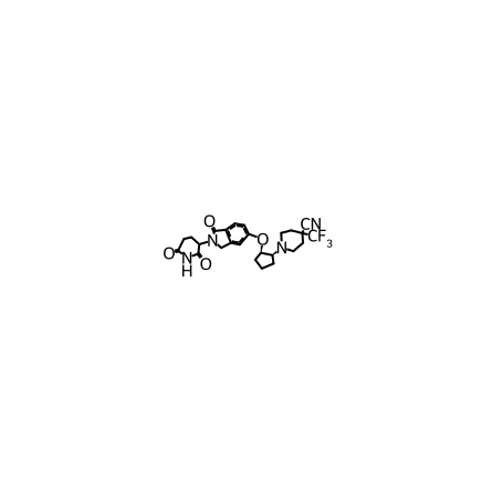 N#CC1(C(F)(F)F)CCN([C@H]2CCC[C@H]2Oc2ccc3c(c2)CN(C2CCC(=O)NC2=O)C3=O)CC1